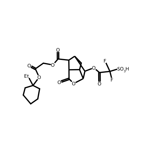 CCC1(OC(=O)COC(=O)C2C3CC4C(OC(=O)C42)C3OC(=O)C(F)(F)S(=O)(=O)O)CCCCC1